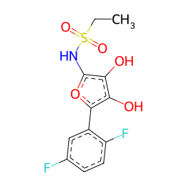 CCS(=O)(=O)Nc1oc(-c2cc(F)ccc2F)c(O)c1O